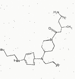 CC(C)CCN(c1ccc(NCCC(C)(C)C)cc1)C1CCN(C(=O)CC(C)CC(N)=O)CC1